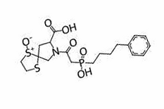 O=C(O)C1CC2(CN1C(=O)CP(=O)(O)CCCCc1ccccc1)SCC[S+]2[O-]